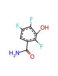 NC(=O)c1cc(F)c(F)c(O)c1F